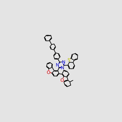 CC1CC=Cc2oc3c(-c4ccc5oc6ccccc6c5c4-c4nc(C5=CC=CC6c7ccccc7SC56)nc(-c5ccc(C6=CCC(c7ccccc7)C=C6)cc5)n4)cccc3c21